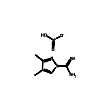 Cc1cn(C(=N)N)nc1C.O=[N+]([O-])O